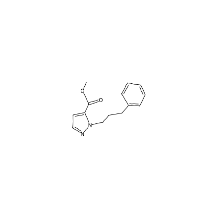 COC(=O)c1ccnn1CCCc1ccccc1